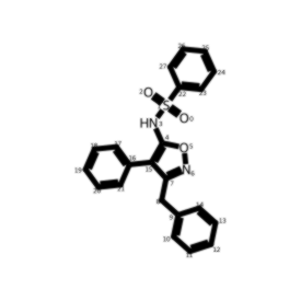 O=S(=O)(Nc1onc(Cc2ccccc2)c1-c1ccccc1)c1ccccc1